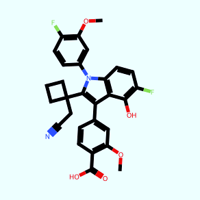 COc1cc(-n2c(C3(CC#N)CCC3)c(-c3ccc(C(=O)O)c(OC)c3)c3c(O)c(F)ccc32)ccc1F